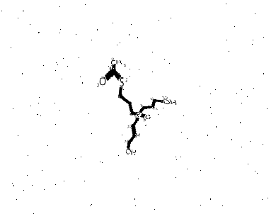 CC(=O)SCCCP(=O)(CCCO)CCCO